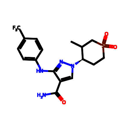 CC1CS(=O)(=O)CC[C@@H]1n1cc(C(N)=O)c(Nc2ccc(C(F)(F)F)cc2)n1